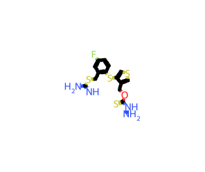 N=C(N)SCc1cc(F)ccc1Sc1cscc1COC(=S)NN